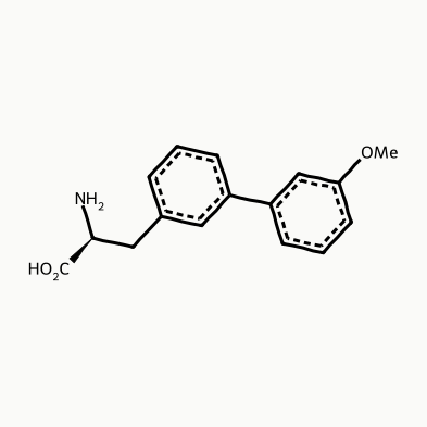 COc1cccc(-c2cccc(C[C@H](N)C(=O)O)c2)c1